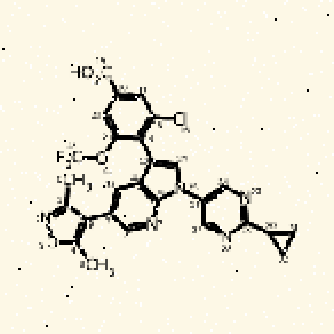 Cc1noc(C)c1-c1cnc2c(c1)c(-c1c(Cl)cc(C(=O)O)cc1OC(F)(F)F)cn2-c1cnc(C2CC2)nc1